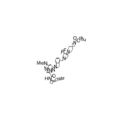 CNc1cc(N2CCc3c(CN4CC[C@H](N5CCC6(CC5)CN(C(=O)OC(C)(C)C)C6)C(F)(F)C4)cccc32)nn2c(C(=O)N[C@@H]3CC[C@H]3OC)cnc12